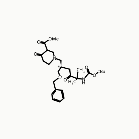 COC(=O)C1CN(C[C@H](COCc2ccccc2)CC(=O)C(C)(C)NC(=O)OC(C)(C)C)CCC1=O